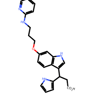 O=C(O)CC(c1ccc[nH]1)c1c[nH]c2cc(OCCCNc3ccccn3)ccc12